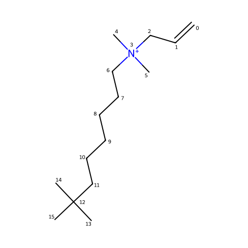 C=CC[N+](C)(C)CCCCCCC(C)(C)C